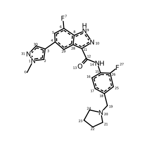 Cn1cc(-c2cc(F)c3[nH]nc(C(=O)Nc4ccc(CN5CCCC5)cc4F)c3c2)cn1